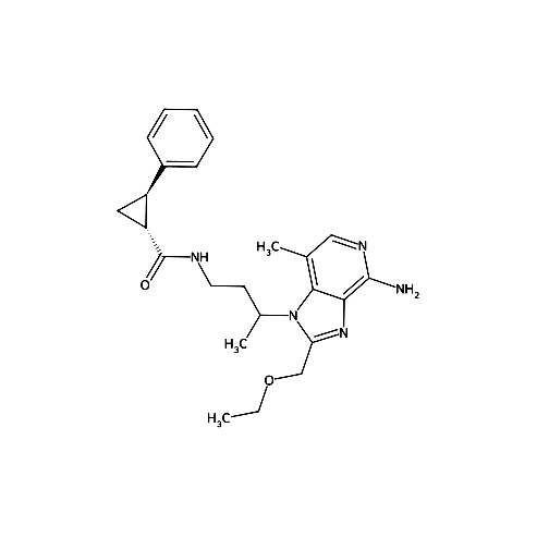 CCOCc1nc2c(N)ncc(C)c2n1C(C)CCNC(=O)[C@@H]1C[C@H]1c1ccccc1